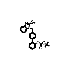 CSc1nc2ccccc2n1Cc1ccc(-c2ccccc2OC(=O)OC(C)(C)C)cc1